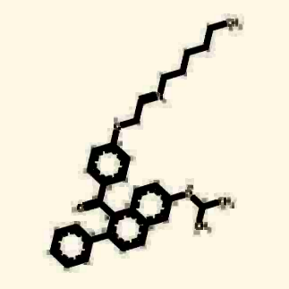 CCCCCCN=CCOc1ccc(C(=O)c2c(-c3ccccc3)ccc3cc(OC(C)C)ccc23)cc1